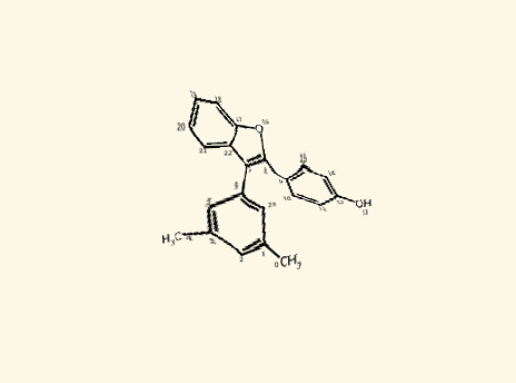 Cc1cc(C)cc(-c2c(-c3ccc(O)cc3)oc3ccccc23)c1